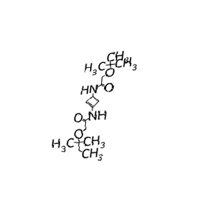 CCC(C)(C)OCC(=O)NC1=CC(NC(=O)COC(C)(C)C)C1